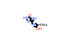 CCCCCC[C@@H]1CN(Cc2c[nH]c3c(=O)[nH]cnc23)C[C@H]1O